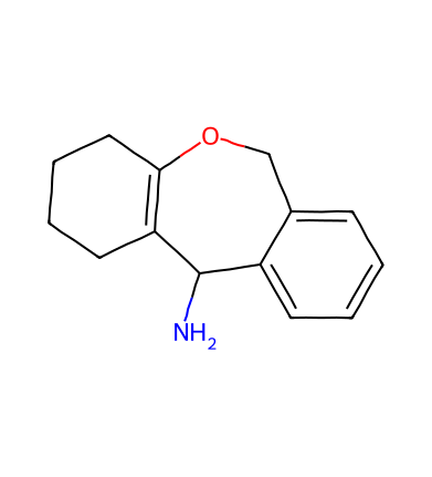 NC1C2=C(CCCC2)OCc2ccccc21